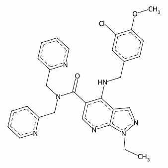 CCn1ncc2c(NCc3ccc(OC)c(Cl)c3)c(C(=O)N(Cc3ccccn3)Cc3ccccn3)cnc21